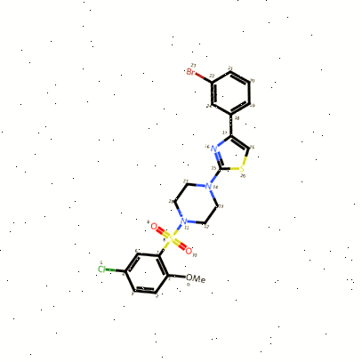 COc1ccc(Cl)cc1S(=O)(=O)N1CCN(c2nc(-c3cccc(Br)c3)cs2)CC1